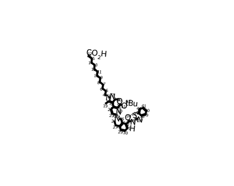 Cc1nn(CCCCCCCCCCCCCC(=O)O)c(C)c1-c1ccc(N2CCc3cccc(C(=O)Nc4nc5ccccc5s4)c3C2)nc1C(=O)OC(C)(C)C